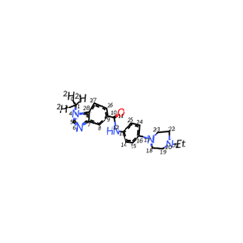 [2H]C([2H])([2H])n1cnc2cc(C(=O)Nc3ccc(N4CCN(CC)CC4)cc3)ccc21